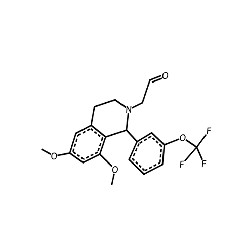 COc1cc2c(c(OC)c1)C(c1cccc(OC(F)(F)F)c1)N(CC=O)CC2